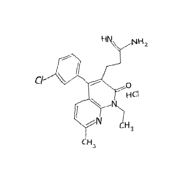 CCn1c(=O)c(CCC(=N)N)c(-c2cccc(Cl)c2)c2ccc(C)nc21.Cl